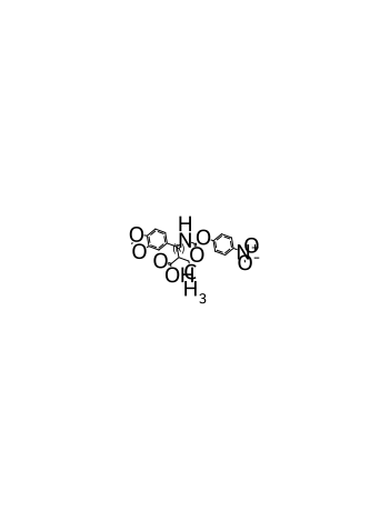 CCC(C(=O)O)[C@@H](NC(=O)Oc1ccc([N+](=O)[O-])cc1)c1ccc2c(c1)OCO2